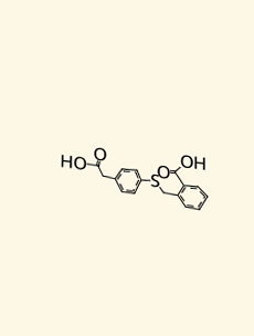 O=C(O)Cc1ccc(SCc2ccccc2C(=O)O)cc1